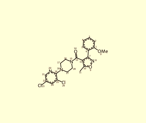 COc1ccccc1-c1noc(C)c1C(=O)N1CCN(c2ncc(Cl)cc2Cl)CC1